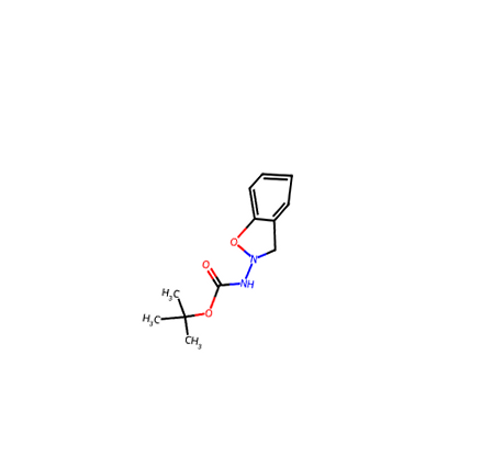 CC(C)(C)OC(=O)NN1Cc2ccccc2O1